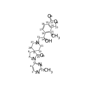 Cc1nccc(N2CCC3(CCN(C[C@H](O)c4ccc5c(c4C)COC5=O)CC3)C2=O)n1